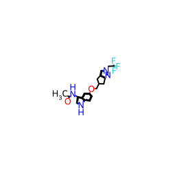 CC(=O)Nc1c[nH]c2ccc(OCC3Cc4cn(CC(F)(F)F)nc4C3)cc12